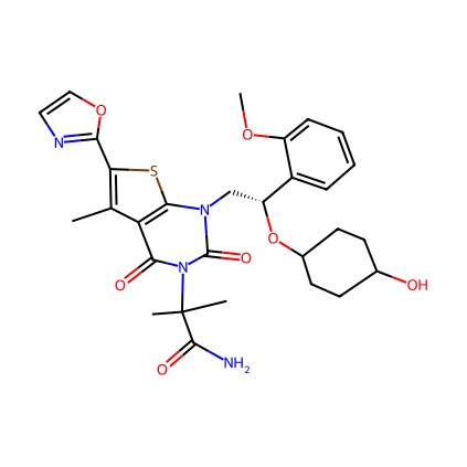 COc1ccccc1[C@@H](Cn1c(=O)n(C(C)(C)C(N)=O)c(=O)c2c(C)c(-c3ncco3)sc21)OC1CCC(O)CC1